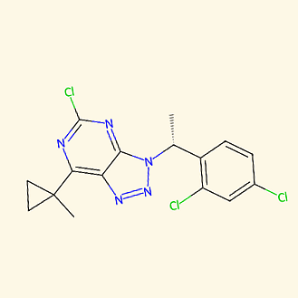 C[C@H](c1ccc(Cl)cc1Cl)n1nnc2c(C3(C)CC3)nc(Cl)nc21